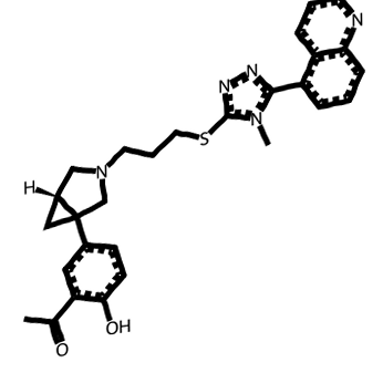 CC(=O)c1cc(C23C[C@@H]2CN(CCCSc2nnc(-c4cccc5nc(C)ccc45)n2C)C3)ccc1O